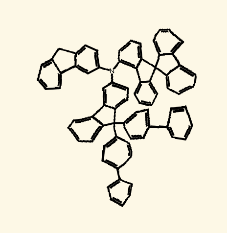 c1ccc(-c2ccc(C3(c4ccc(-c5ccccc5)cc4)c4ccccc4-c4cc(N(c5ccc6c(c5)-c5ccccc5C6)c5cccc6c5-c5ccccc5C65c6ccccc6-c6ccccc65)ccc43)cc2)cc1